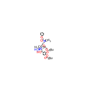 CN(CCC(=O)CC(C)(C)N(N)CC(O)c1ccc(OC(=O)C(C)(C)C)c(OC(=O)C(C)(C)C)c1)C(=O)COc1ccccc1